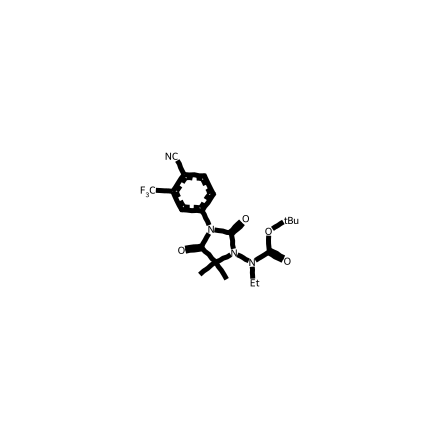 CCN(C(=O)OC(C)(C)C)N1C(=O)N(c2ccc(C#N)c(C(F)(F)F)c2)C(=O)C1(C)C